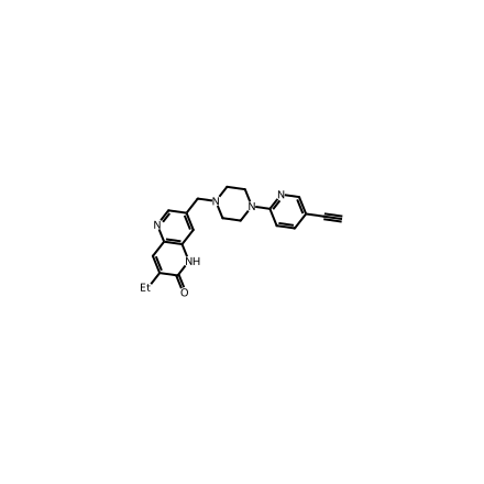 C#Cc1ccc(N2CCN(Cc3cnc4cc(CC)c(=O)[nH]c4c3)CC2)nc1